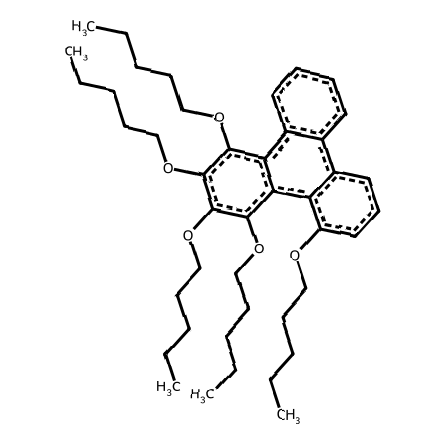 CCCCCOc1c(OCCCCC)c(OCCCCC)c2c3c(OCCCCC)cccc3c3ccccc3c2c1OCCCCC